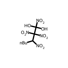 CCCCC([N+](=O)[O-])C([N+](=O)[O-])([N+](=O)[O-])C(O)(O)[N+](=O)[O-]